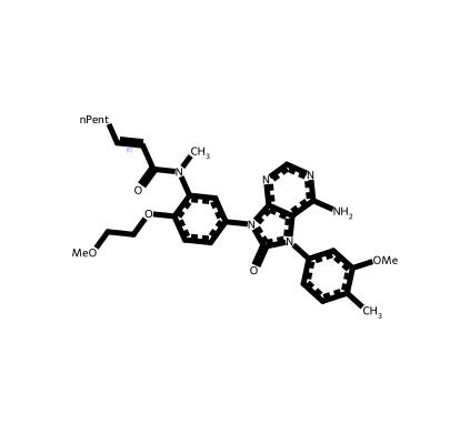 CCCCC/C=C/C(=O)N(C)c1cc(-n2c(=O)n(-c3ccc(C)c(OC)c3)c3c(N)ncnc32)ccc1OCCOC